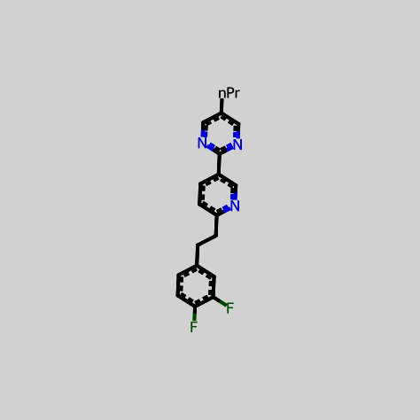 CCCc1cnc(-c2ccc(CCc3ccc(F)c(F)c3)nc2)nc1